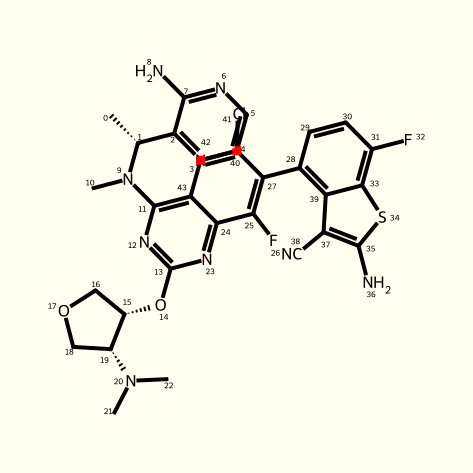 C[C@H](c1nccnc1N)N(C)c1nc(O[C@H]2COC[C@H]2N(C)C)nc2c(F)c(-c3ccc(F)c4sc(N)c(C#N)c34)c(Cl)cc12